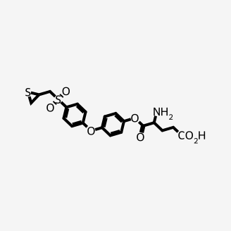 NC(CCC(=O)O)C(=O)Oc1ccc(Oc2ccc(S(=O)(=O)CC3CS3)cc2)cc1